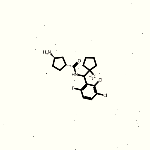 CC1(C(NC(=O)[C@@H]2CC[C@@H](N)C2)c2c(F)ccc(Cl)c2Cl)CCCC1